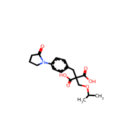 CC(C)OCC(Cc1ccc(N2CCCC2=O)cc1)(C(=O)O)C(=O)O